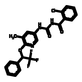 Cc1cc(NC(=O)NC(=O)c2ccccc2Cl)cnc1OC(c1ccccc1)C(F)(F)F